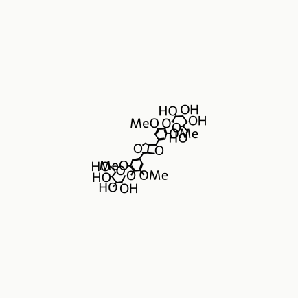 COc1cc(C2OCC3C(c4cc(OC)c(O[C@H]5OC(CO)[C@@H](O)[C@H](O)[C@H]5O)c(OC)c4)OCC23)cc(OC)c1O[C@H]1O[C@H](CO)[C@@H](O)[C@H](O)[C@H]1O